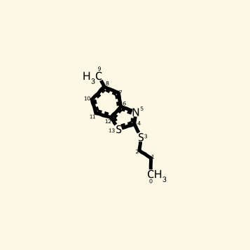 CCCSc1nc2cc(C)ccc2s1